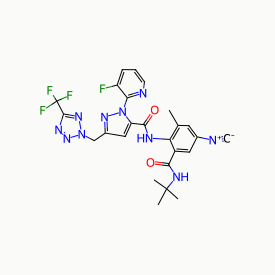 [C-]#[N+]c1cc(C)c(NC(=O)c2cc(Cn3nnc(C(F)(F)F)n3)nn2-c2ncccc2F)c(C(=O)NC(C)(C)C)c1